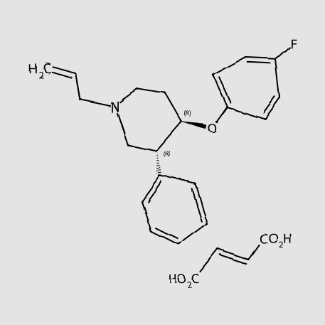 C=CCN1CC[C@@H](Oc2ccc(F)cc2)[C@H](c2ccccc2)C1.O=C(O)C=CC(=O)O